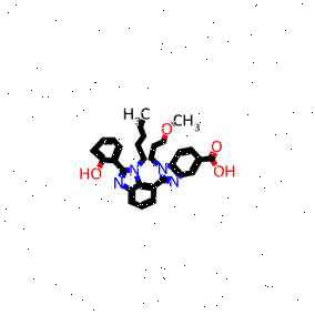 CCCCCn1c(-c2ccccc2O)nc2cccc(-c3nc4cc(C(=O)O)ccc4n3CCCOC)c21